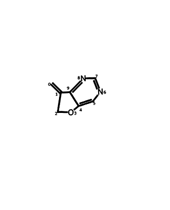 C=C1COc2cncnc21